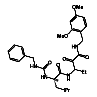 CCC(NC(=O)[C@H](CC(C)C)NC(=O)NCc1ccccc1)C(=O)C(=O)NCc1ccc(OC)cc1OC